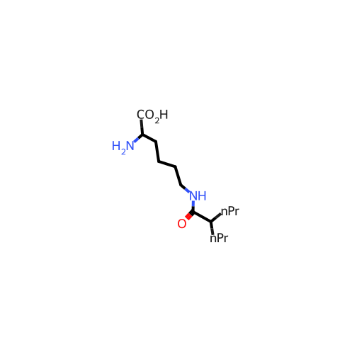 CCCC(CCC)C(=O)NCCCCC(N)C(=O)O